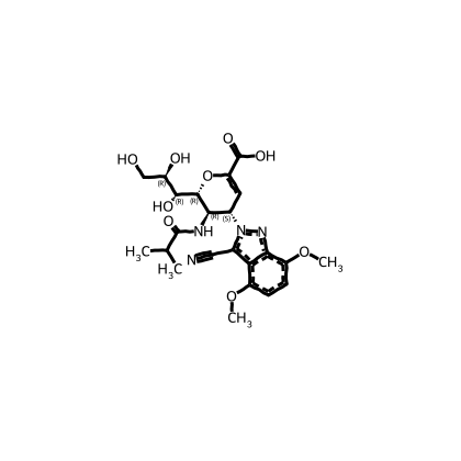 COc1ccc(OC)c2c(C#N)n([C@H]3C=C(C(=O)O)O[C@@H]([C@H](O)[C@H](O)CO)[C@@H]3NC(=O)C(C)C)nc12